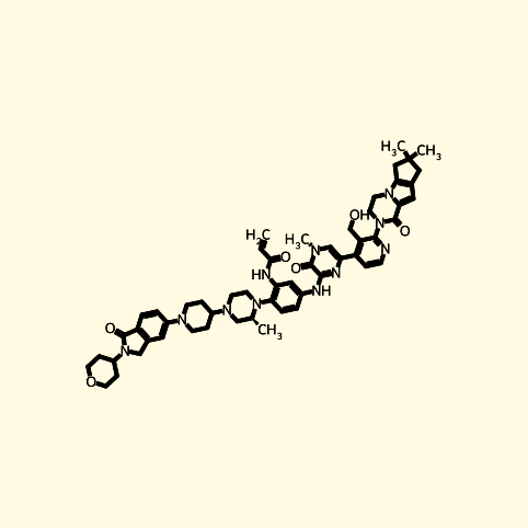 C=CC(=O)Nc1cc(Nc2nc(-c3ccnc(N4CCn5c(cc6c5CC(C)(C)C6)C4=O)c3CO)cn(C)c2=O)ccc1N1CCN(C2CCN(c3ccc4c(c3)CN(C3CCOCC3)C4=O)CC2)C[C@@H]1C